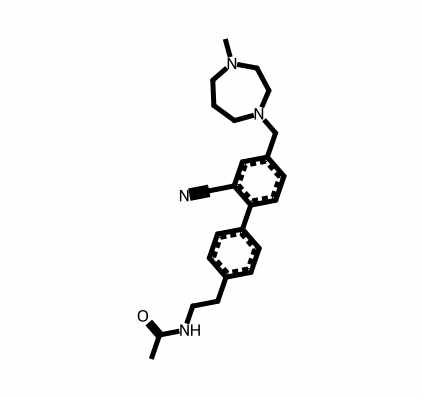 CC(=O)NCCc1ccc(-c2ccc(CN3CCCN(C)CC3)cc2C#N)cc1